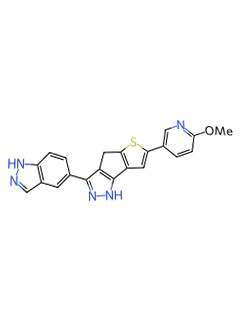 COc1ccc(-c2cc3c(s2)Cc2c(-c4ccc5[nH]ncc5c4)n[nH]c2-3)cn1